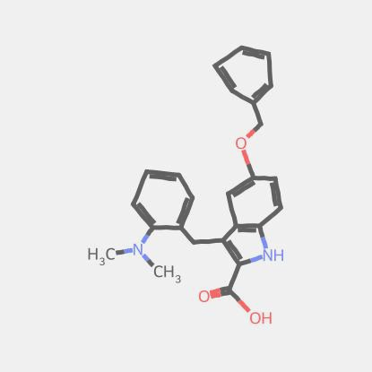 CN(C)c1ccccc1Cc1c(C(=O)O)[nH]c2ccc(OCc3ccccc3)cc12